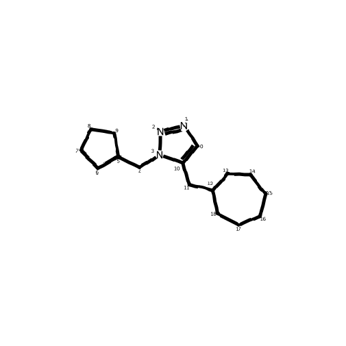 c1nnn(CC2CCCC2)c1CC1CCCCCC1